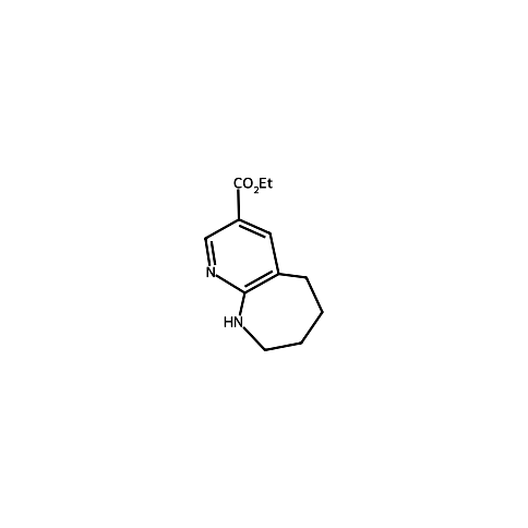 CCOC(=O)c1cnc2c(c1)CCCCN2